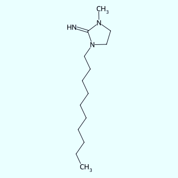 CCCCCCCCCCN1CCN(C)C1=N